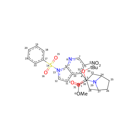 COC(=O)C1(c2c([N+](=O)[O-])cnc3c2ccn3S(=O)(=O)c2ccccc2)CC2CCC(C1)N2C(=O)OC(C)(C)C